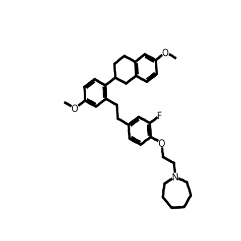 COc1ccc2c(c1)CCC(c1ccc(OC)cc1CCc1ccc(OCCN3CCCCCC3)c(F)c1)C2